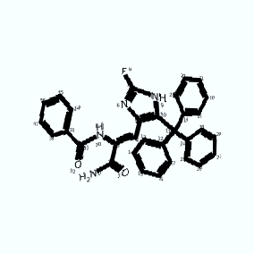 NC(=O)C(=Cc1nc(F)[nH]c1C(c1ccccc1)(c1ccccc1)c1ccccc1)NC(=O)c1ccccc1